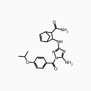 CC(C)Oc1ccc(C(=O)n2nc(NC3C4C=CC(C4)C3C(N)=O)nc2N)cc1